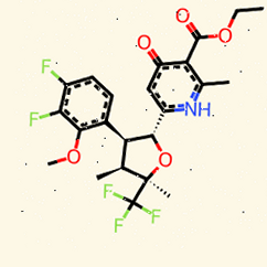 CCOC(=O)c1c(C)[nH]c([C@@H]2O[C@@](C)(C(F)(F)F)[C@@H](C)[C@H]2c2ccc(F)c(F)c2OC)cc1=O